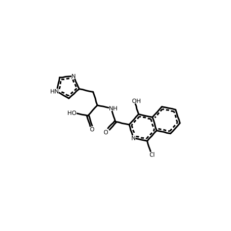 O=C(NC(Cc1c[nH]cn1)C(=O)O)c1nc(Cl)c2ccccc2c1O